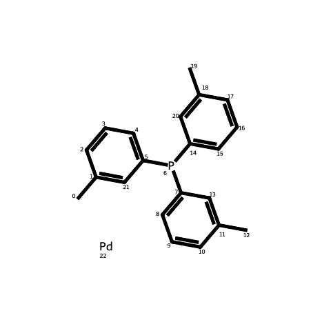 Cc1cccc(P(c2cccc(C)c2)c2cccc(C)c2)c1.[Pd]